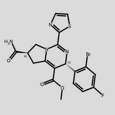 COC(=O)C1=C2C[C@@H](C(N)=O)CN2C(c2nccs2)=N[C@@H]1c1ccc(F)cc1Br